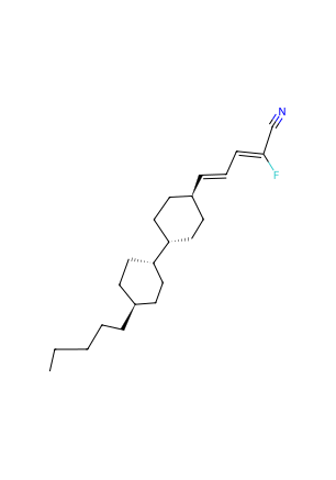 CCCCC[C@H]1CC[C@H]([C@H]2CC[C@H](C=CC=C(F)C#N)CC2)CC1